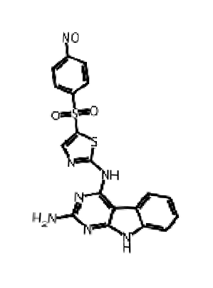 Nc1nc(Nc2ncc(S(=O)(=O)c3ccc(N=O)cc3)s2)c2c(n1)[nH]c1ccccc12